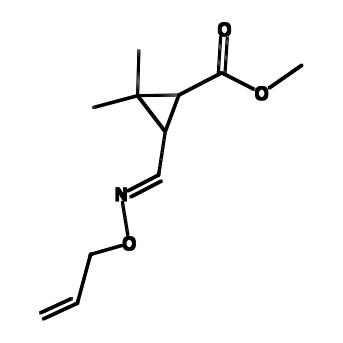 C=CCON=CC1C(C(=O)OC)C1(C)C